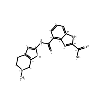 CN1CCc2nc(NC(=O)c3cccc4[nH]c(C(N)=O)nc34)sc2C1